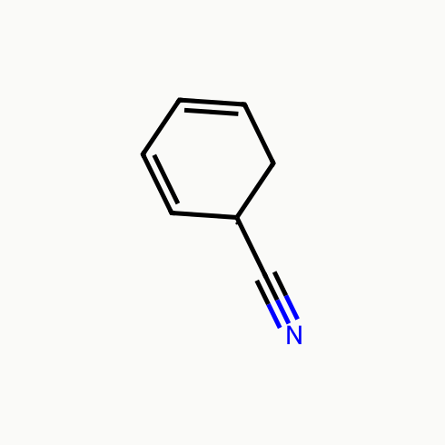 N#C[C]1C=CC=CC1